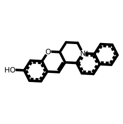 Oc1ccc2c(c1)OC1CC[n+]3c(ccc4ccccc43)C1=C2